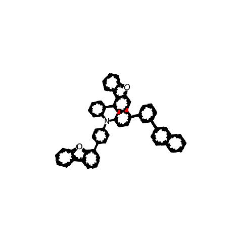 c1cc(-c2ccc(N(c3ccc(-c4cccc5c4oc4ccccc45)cc3)c3ccccc3-c3cccc4oc5ccccc5c34)cc2)cc(-c2ccc3ccccc3c2)c1